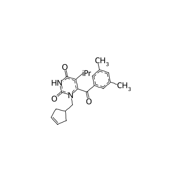 Cc1cc(C)cc(C(=O)c2c(C(C)C)c(=O)[nH]c(=O)n2CC2CC=CC2)c1